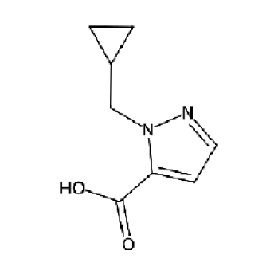 O=C(O)c1ccnn1CC1CC1